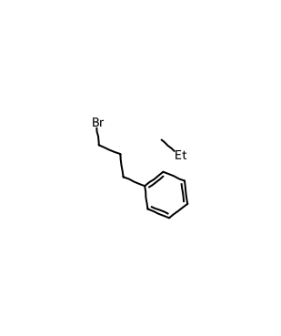 BrCCCc1ccccc1.CCC